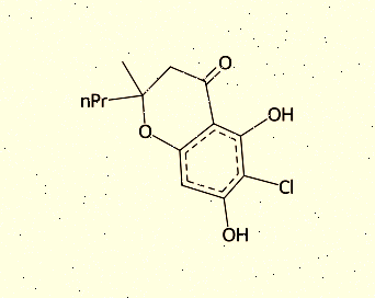 CCCC1(C)CC(=O)c2c(cc(O)c(Cl)c2O)O1